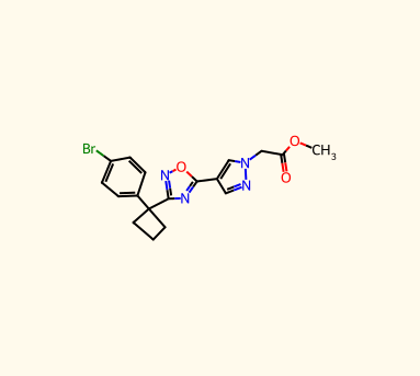 COC(=O)Cn1cc(-c2nc(C3(c4ccc(Br)cc4)CCC3)no2)cn1